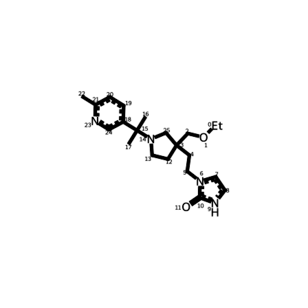 CCOCC1(CCn2cc[nH]c2=O)CCN(C(C)(C)c2ccc(C)nc2)C1